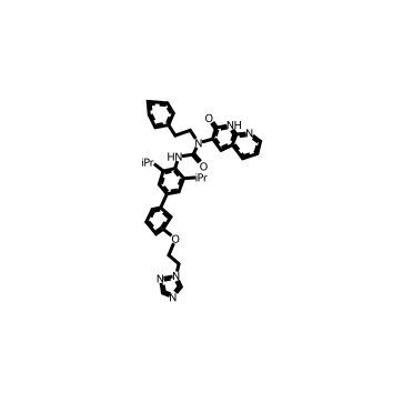 CC(C)c1cc(-c2cccc(OCCn3cncn3)c2)cc(C(C)C)c1NC(=O)N(CCc1ccccc1)c1cc2cccnc2[nH]c1=O